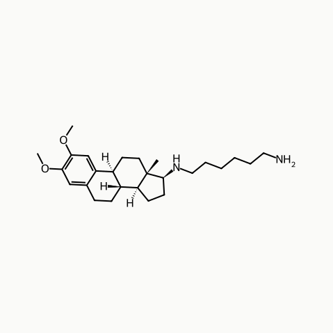 COc1cc2c(cc1OC)[C@H]1CC[C@]3(C)[C@@H](NCCCCCCN)CC[C@H]3[C@@H]1CC2